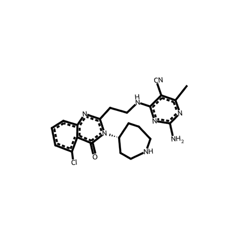 Cc1nc(N)nc(NCCc2nc3cccc(Cl)c3c(=O)n2[C@@H]2CCCNCC2)c1C#N